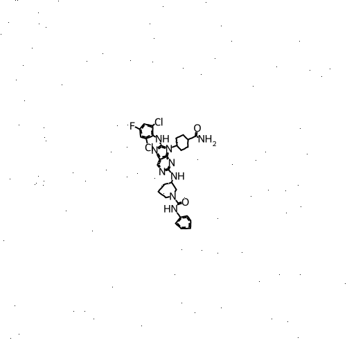 NC(=O)C1CCC(n2c(Nc3c(Cl)cc(F)cc3Cl)nc3cnc(NC4CCCN(C(=O)Nc5ccccc5)C4)nc32)CC1